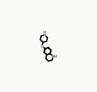 c1cc2c(cc1OC1CCNCC1)CCCN2